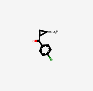 O=C(c1ccc(Br)cc1)[C@H]1C[C@H]1C(=O)O